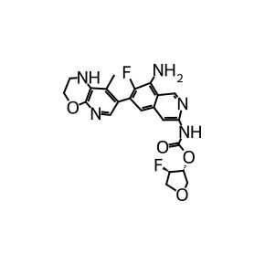 Cc1c(-c2cc3cc(NC(=O)O[C@@H]4COC[C@H]4F)ncc3c(N)c2F)cnc2c1NCCO2